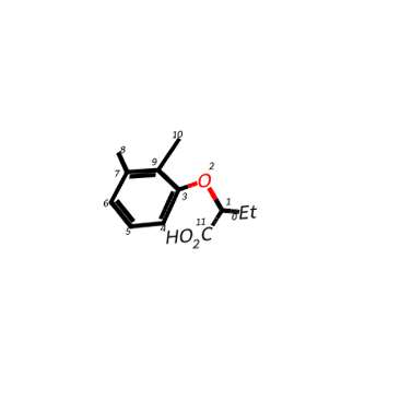 CCC(Oc1cccc(C)c1C)C(=O)O